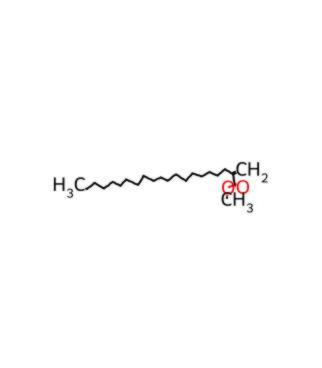 C=C(CCCCCCCCCCCCCCCCCCC)C(=O)OC